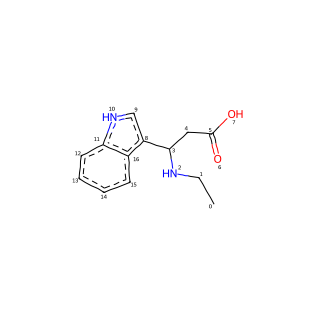 CCNC(CC(=O)O)c1c[nH]c2ccccc12